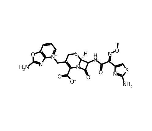 CON=C(C(=O)NC1C(=O)N2C(C(=O)[O-])=C(C[n+]3cccc4oc(N)nc43)CS[C@@H]12)c1csc(N)n1